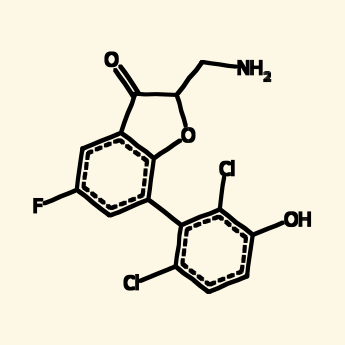 NCC1Oc2c(cc(F)cc2-c2c(Cl)ccc(O)c2Cl)C1=O